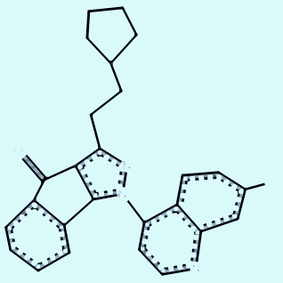 O=C1c2ccccc2-c2c1c(CCC1CCCC1)nn2-c1ccnc2cc(Cl)ccc12